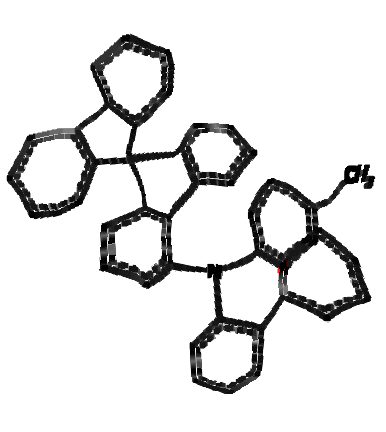 Cc1ccc(N(c2ccccc2-c2ccccc2)c2cccc3c2-c2ccccc2C32c3ccccc3-c3ccccc32)cc1